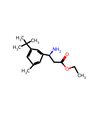 CCOC(=O)C[C@H](N)c1cc(C)cc(C(C)(C)C)c1